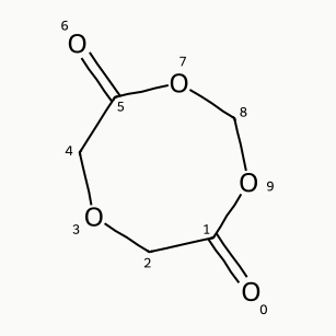 O=C1COCC(=O)OCO1